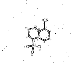 N#Cc1cccc2c(S(=O)(=O)Cl)cccc12